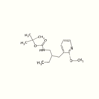 CCC(CNC(=O)OC(C)(C)C)Cc1cccnc1OC